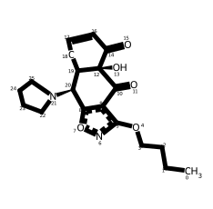 CCCCOc1noc2c1C(=O)[C@@]1(O)C(=O)C=CCC1[C@@H]2N1CCCC1